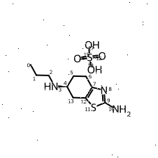 CCCN[C@H]1CCc2nc(N)sc2C1.O=S(=O)(O)O